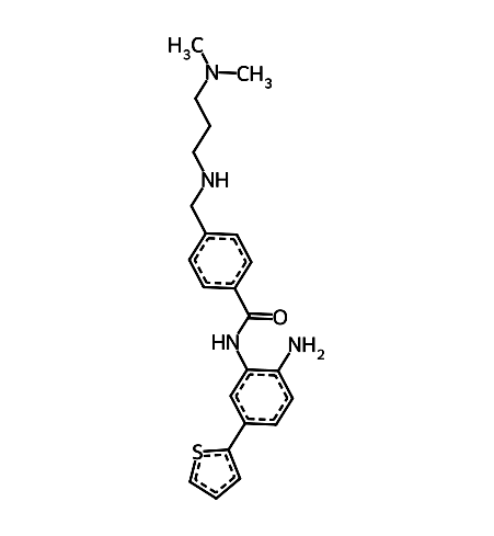 CN(C)CCCNCc1ccc(C(=O)Nc2cc(-c3cccs3)ccc2N)cc1